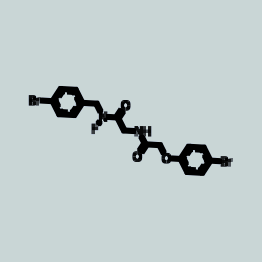 O=C(COc1ccc(Br)cc1)NCC(=O)N(F)Cc1ccc(Br)cc1